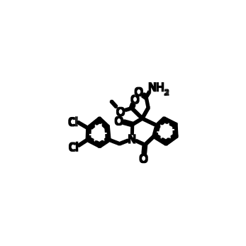 COC(=O)C1(CC(N)=O)C(=O)N(Cc2ccc(Cl)c(Cl)c2)C(=O)c2ccccc21